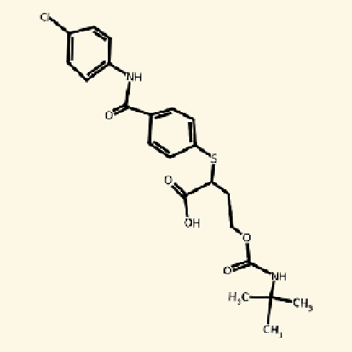 CC(C)(C)NC(=O)OCCC(Sc1ccc(C(=O)Nc2ccc(Cl)cc2)cc1)C(=O)O